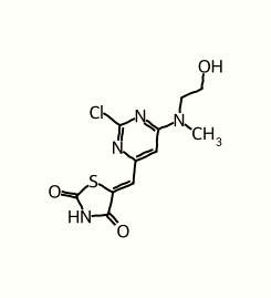 CN(CCO)c1cc(/C=C2\SC(=O)NC2=O)nc(Cl)n1